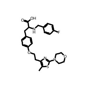 Cc1sc(N2CCOCC2)nc1CCOc1ccc(CC(NCc2ccc(F)cc2)C(=O)O)cc1